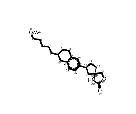 COCCCCCC1CCc2cc(C3CC[C@]4(COC(=O)N4)C3)ccc2C1